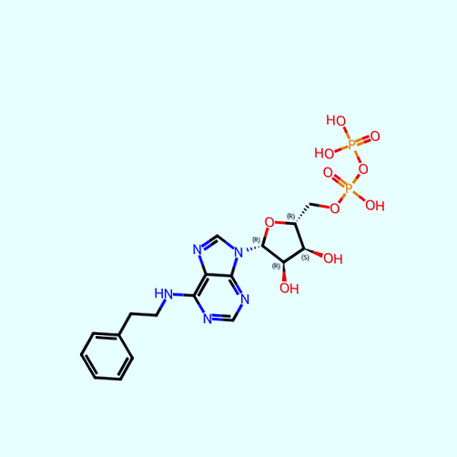 O=P(O)(O)OP(=O)(O)OC[C@H]1O[C@@H](n2cnc3c(NCCc4ccccc4)ncnc32)[C@H](O)[C@@H]1O